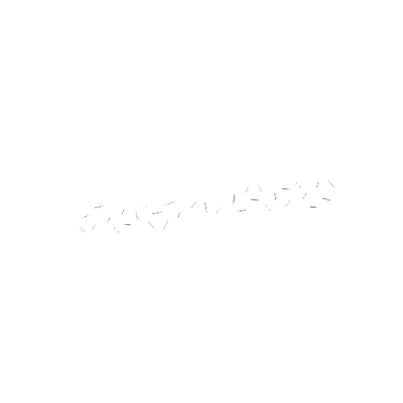 Cn1c2cc3c4ccc5cc(-c6cc7sc(-c8ccc9c(ccc%10c%11cc%12c(cc%11n(C)c9%10)c9ccc%10ccccc%10c9n%12C)c8)cc7s6)ccc5c4n(C)c3cc2c2ccc3ccccc3c21